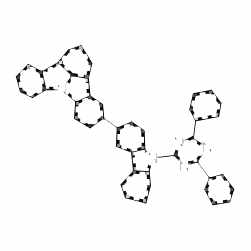 c1ccc(-c2nc(-c3ccccc3)nc(-n3c4ccccc4c4cc(-c5ccc6c(c5)c5cccc7c8ccccc8n6c75)ccc43)n2)cc1